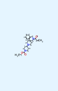 CCOC(=O)N1CCC(N2CCC3(CC2)CN(C(=O)CC)CC2=C3C=CCC2)CC1